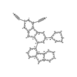 N#Cc1nc(C#N)c2c(n1)sc1c(-c3cccc4oc5ccccc5c34)cc(-c3ccccc3)cc12